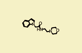 O=C(Cn1ccc2ccccc21)NCCN1CCOCC1